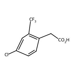 O=C(O)Cc1ccc(Cl)cc1C(F)(F)F